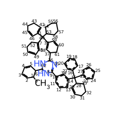 CC1C=CC=CC1C1NC(c2cccc(C(c3ccccc3)(c3ccccc3)C3C=CCCC3)c2)=NC(C2C=C(C(C3=CCCC=C3)(C3=CC=CCC3)C3CCCCC3)C=CC2)N1